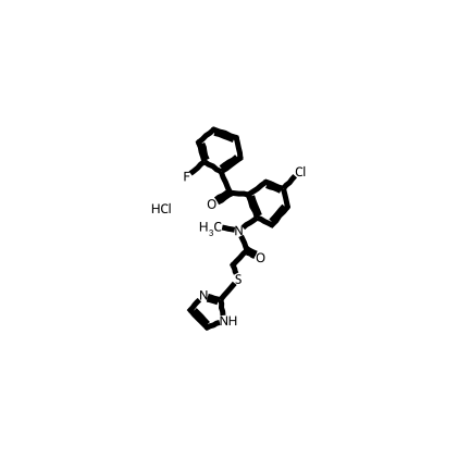 CN(C(=O)CSc1ncc[nH]1)c1ccc(Cl)cc1C(=O)c1ccccc1F.Cl